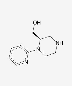 OC[C@H]1CNCCN1c1[c]cccn1